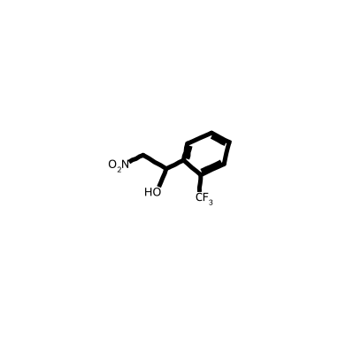 O=[N+]([O-])CC(O)c1ccccc1C(F)(F)F